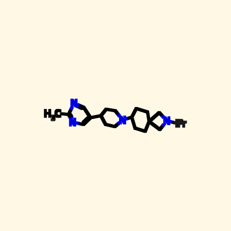 Cc1ncc(C2CCN(C3CCC4(CC3)CN(C(C)C)C4)CC2)cn1